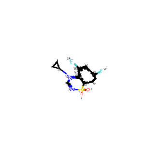 O=S1(=O)N=CN(C2CC2)c2c(F)cc(F)cc21